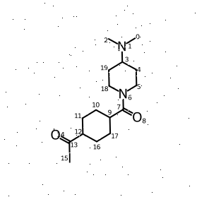 CN(C)C1CCN(C(=O)C2CCC(C(=O)I)CC2)CC1